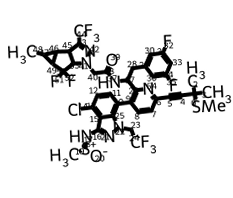 CSC(C)(C)C#Cc1ccc(-c2ccc(Cl)c3c(N[S+](C)[O-])nn(CC(F)(F)F)c23)c(C(Cc2cc(F)cc(F)c2)NC(=O)CN2N=C(C(F)(F)F)C3C4C(C)C4C(F)(F)C32)n1